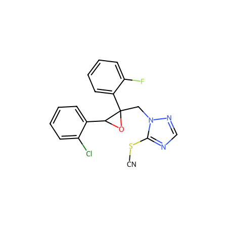 N#CSc1ncnn1CC1(c2ccccc2F)OC1c1ccccc1Cl